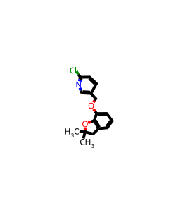 CC1(C)Cc2cccc(OCc3ccc(Cl)nc3)c2O1